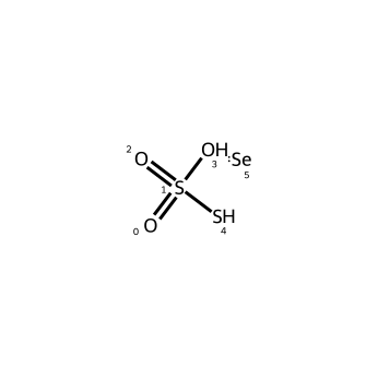 O=S(=O)(O)S.[Se]